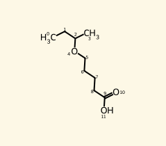 CCC(C)OCCCCC(=O)O